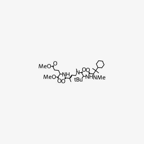 CNC(C(=O)NC(C(=O)N(C)C/C=C(\C)C(=O)NC(CCC(=O)OC)C(=O)OC)C(C)(C)C)C(C)(C)C1CCCCC1